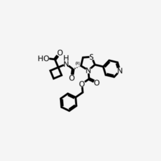 O=C(NC1(C(=O)O)CCC1)[C@@H]1CSC(c2ccncc2)N1C(=O)OCc1ccccc1